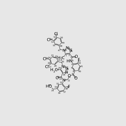 Cc1c(C(=O)Nc2cc(C(=O)OCN(C(=O)c3nnn(Cc4ccc(Cl)c(Cl)c4)c3C)c3cc(CO)ccc3F)ccc2F)nnn1Cc1ccc(Cl)c(Cl)c1